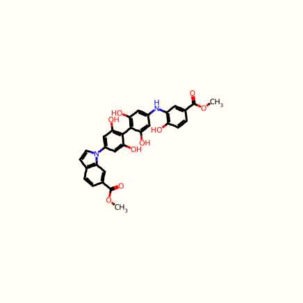 COC(=O)c1ccc(O)c(Nc2cc(O)c(-c3c(O)cc(-n4ccc5ccc(C(=O)OC)cc54)cc3O)c(O)c2)c1